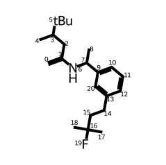 C=C(CC(C)C(C)(C)C)NC(C)c1cccc(CCC(C)(C)F)c1